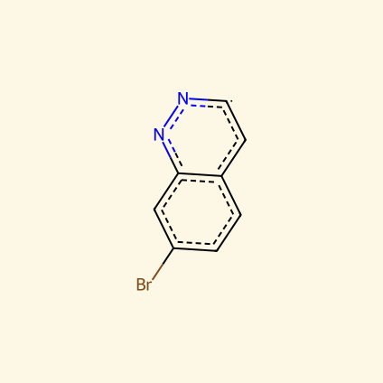 Brc1ccc2c[c]nnc2c1